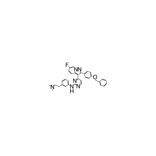 CN(C)CCc1cccc(Nc2nccc(-c3c(-c4ccc(OCc5ccccc5)cc4)nn4cc(F)ccc34)n2)c1